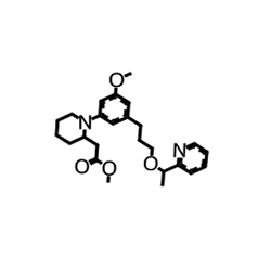 COC(=O)CC1CCCCN1c1cc(CCCOC(C)c2ccccn2)cc(OC)c1